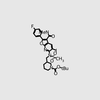 CNC(=O)c1c(-c2ccc(F)cc2)oc2nc(N(CC3CCCN(C(=O)OC(C)(C)C)C3)S(C)(=O)=O)c(I)cc12